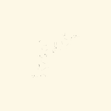 COC(=O)c1ccc(C(=O)Nc2sc(C)cc2C(=O)NCc2ccc(OC)c(Cl)c2)cc1